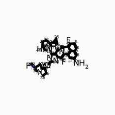 C#Cc1c(F)ccc2cc(N)cc(-c3ncc4c(N5C[C@@H]6CC[C@](C7CC7)(C5)N6)nc(OC[C@@]56CCCN5C/C(=C\F)C6)nc4c3F)c12